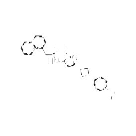 COc1ccc([C@H]2C[C@@H](c3cc(NC(=O)Cc4cccc5ccccc45)[nH]n3)C2)cc1